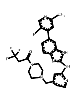 Cc1cc(-c2ccc3nc(Nc4cc(CN5CCN(C(=O)CC(F)(F)F)CC5)ccn4)[nH]c3c2)c(F)cn1